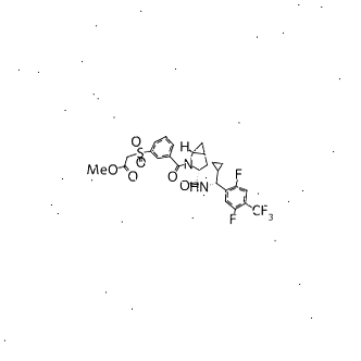 COC(=O)CS(=O)(=O)c1cccc(C(=O)N2[C@@H](C(=O)N[C@@H](c3cc(F)c(C(F)(F)F)cc3F)C3CC3)CC3C[C@H]32)c1